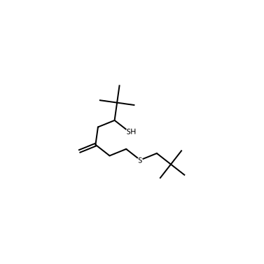 C=C(CCSCC(C)(C)C)CC(S)C(C)(C)C